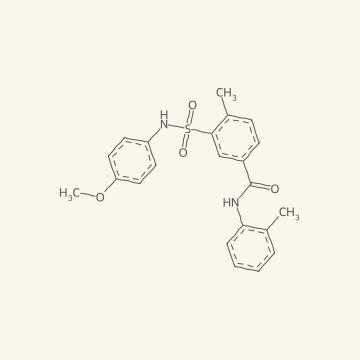 COc1ccc(NS(=O)(=O)c2cc(C(=O)Nc3ccccc3C)ccc2C)cc1